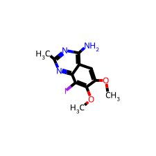 COc1cc2c(N)nc(C)nc2c(I)c1OC